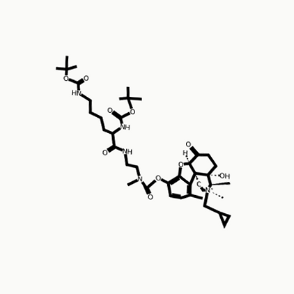 Cc1ccc(OC(=O)N(C)CCNC(=O)C(CCCCNC(=O)OC(C)(C)C)NC(=O)OC(C)(C)C)c2c1[C@]13CC[N@+](C)(CC4CC4)[C@H](C)[C@]1(O)CCC(=O)[C@@H]3O2